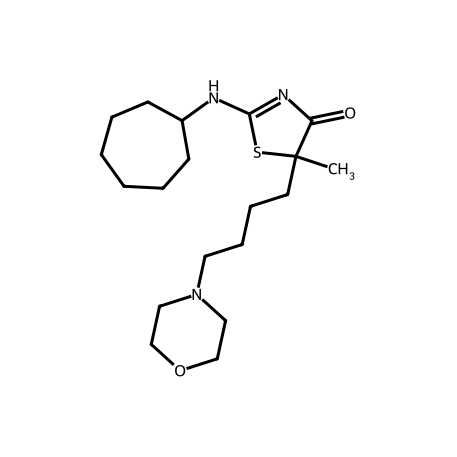 CC1(CCCCN2CCOCC2)SC(NC2CCCCCC2)=NC1=O